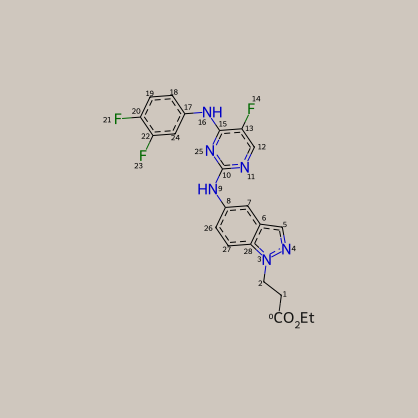 CCOC(=O)CCn1ncc2cc(Nc3ncc(F)c(Nc4ccc(F)c(F)c4)n3)ccc21